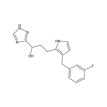 OC(CCc1[nH]ccc1Cc1cccc(F)c1)c1nc[nH]n1